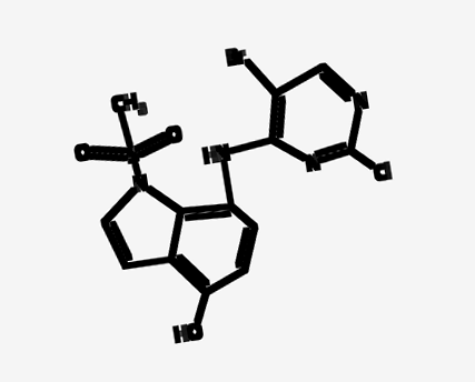 CS(=O)(=O)n1ccc2c(O)ccc(Nc3nc(Cl)ncc3Br)c21